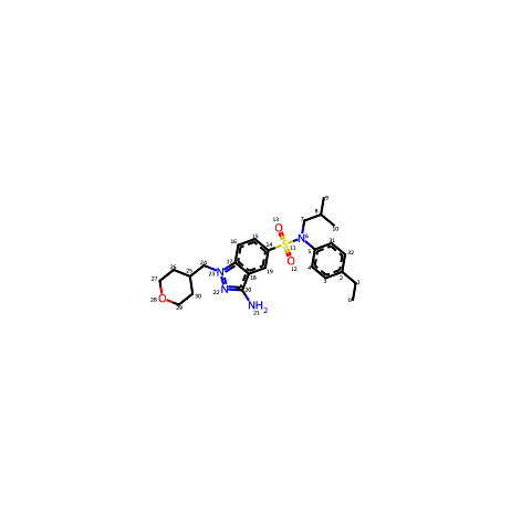 CCc1ccc(N(CC(C)C)S(=O)(=O)c2ccc3c(c2)c(N)nn3CC2CCOCC2)cc1